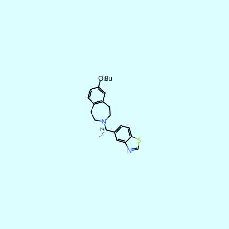 CC(C)COc1ccc2c(c1)CCN([C@@H](C)c1ccc3scnc3c1)CC2